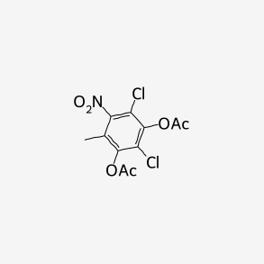 CC(=O)Oc1c(C)c([N+](=O)[O-])c(Cl)c(OC(C)=O)c1Cl